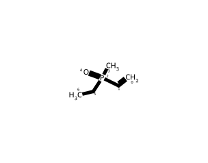 C=CP(C)(=O)CC